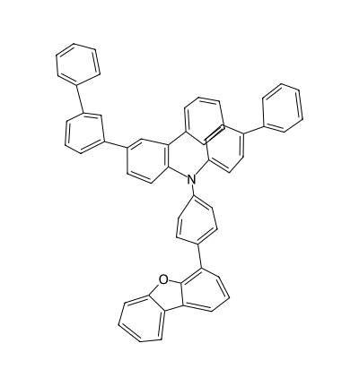 c1ccc(-c2ccc(N(c3ccc(-c4cccc5c4oc4ccccc45)cc3)c3ccc(-c4cccc(-c5ccccc5)c4)cc3-c3ccccc3)cc2)cc1